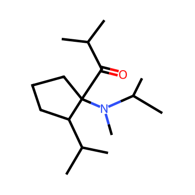 CC(C)C(=O)C1(N(C)C(C)C)CCCC1C(C)C